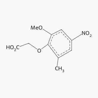 COc1cc([N+](=O)[O-])cc(C)c1OCC(=O)O